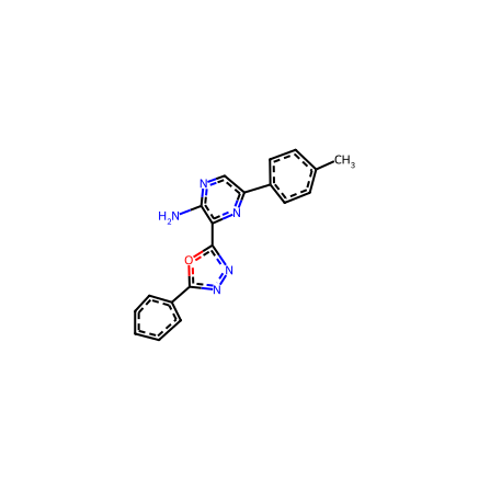 Cc1ccc(-c2cnc(N)c(-c3nnc(-c4ccccc4)o3)n2)cc1